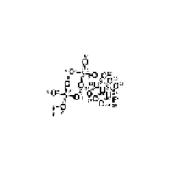 O=S(=O)([O-])[O-].O=S(=O)([O-])[O-].[F-].[F-].[O]=[U+2]=[O].[O]=[U+2]=[O].[O]=[U+2]=[O]